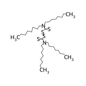 CCCCCCCCN(CCCCCCCC)C(=S)SSC(=S)N(CCCCCCCC)CCCCCCCC